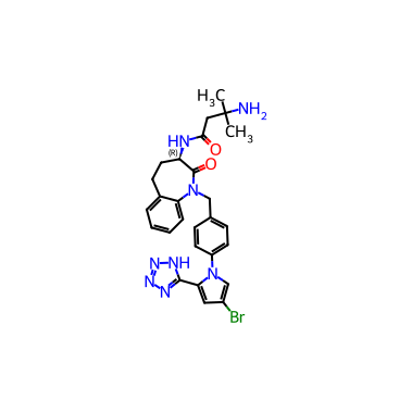 CC(C)(N)CC(=O)N[C@@H]1CCc2ccccc2N(Cc2ccc(-n3cc(Br)cc3-c3nnn[nH]3)cc2)C1=O